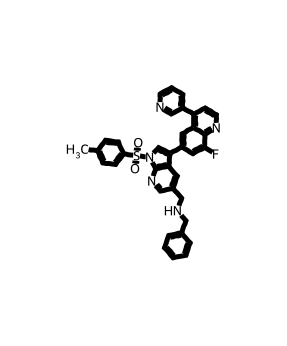 Cc1ccc(S(=O)(=O)n2cc(-c3cc(F)c4nccc(-c5cccnc5)c4c3)c3cc(CNCc4ccccc4)cnc32)cc1